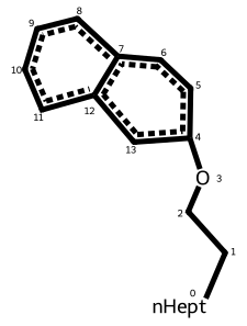 CCCCCCCCCOc1ccc2ccccc2c1